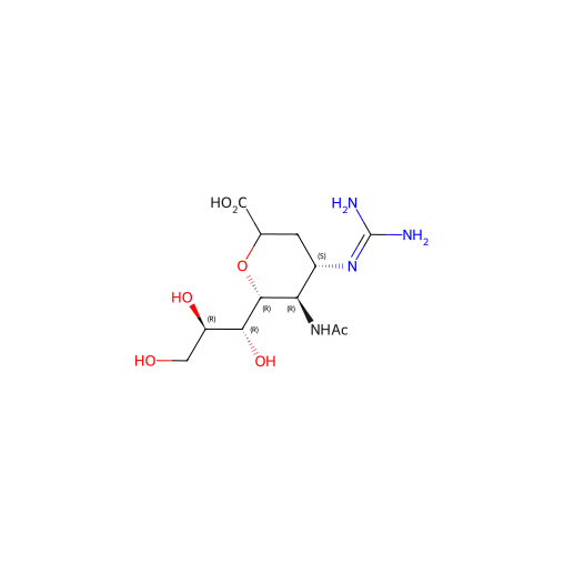 CC(=O)N[C@H]1[C@H]([C@H](O)[C@H](O)CO)OC(C(=O)O)C[C@@H]1N=C(N)N